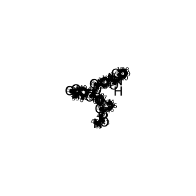 Cc1cc(C[C@@H](OC(=O)N2CCC(N3CCc4ccccc4NC3=O)CC2)C(=O)N2CCC(N3CCC[C@@H]3C(=O)OCC(=O)N(C)C)CC2)cc2oc(=O)n(C)c12